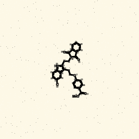 COC(=O)c1ccc(OCCc2c(CCN3C(=O)c4ccccc4C3=O)[nH]c3ccc(Cl)cc23)cc1